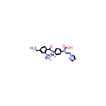 CCc1ccc(C(=O)Nc2ccc(N(CCn3cccn3)C(=O)O)cc2)c(N(C)C)c1